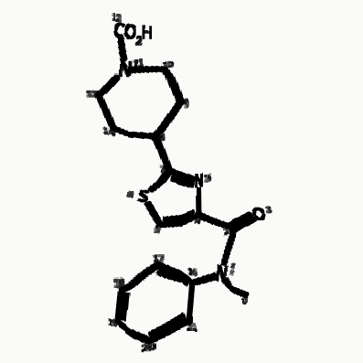 CN(C(=O)c1csc(C2CCN(C(=O)O)CC2)n1)c1ccccc1